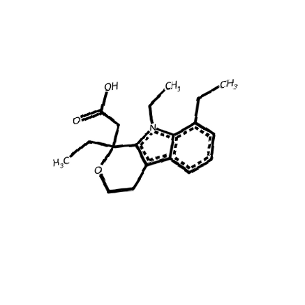 CCc1cccc2c3c(n(CC)c12)C(CC)(CC(=O)O)OCC3